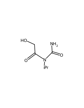 CC(C)N(C(N)=O)C(=O)CO